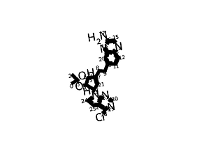 CC1(C)O[C@@H]2[C@H](O1)C(CCc1ccc3ncc(N)nc3c1)=C[C@H]2n1ccc2c(Cl)ncnc21